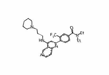 CCN(CC)C(=O)c1ccc(-c2cc(NCCCN3CCCCC3)c3cnccc3n2)c(C(F)(F)F)c1